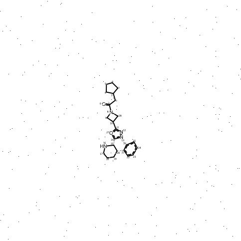 O=C(CC1CCCC1)N1CC(c2nnc([C@H]3NCCC[C@H]3c3ccccc3)o2)C1